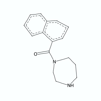 O=C(c1cccc2ccccc12)N1CCCNCC1